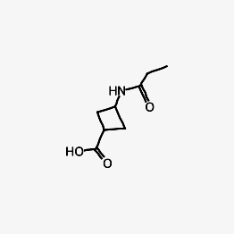 CCC(=O)NC1CC(C(=O)O)C1